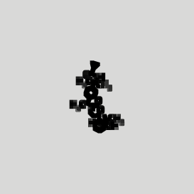 C[C@@H](c1ccc(C(C)(C)NC(=O)C2CC2)cc1)N1CC[C@](CC(C)(C)O)(c2ccccc2)OC1=O